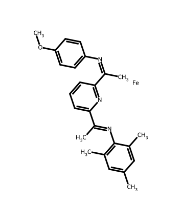 COc1ccc(N=C(C)c2cccc(C(C)=Nc3c(C)cc(C)cc3C)n2)cc1.[Fe]